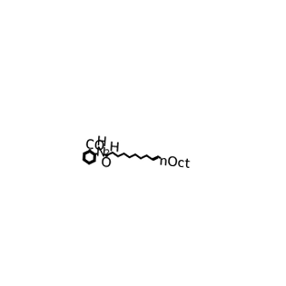 CCCCCCCCC=CCCCCCCCC(=O)Nc1ccccc1C(=O)O